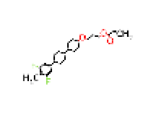 C=CC(=O)OCCCOC1CCC(C2CCC(c3cc(F)c(C)c(F)c3)CC2)CC1